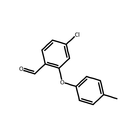 Cc1ccc(Oc2cc(Cl)ccc2C=O)cc1